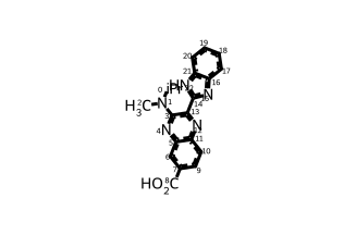 CC(C)N(C)c1nc2cc(C(=O)O)ccc2nc1-c1nc2ccccc2[nH]1